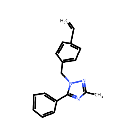 C=Cc1ccc(Cn2nc(C)nc2-c2ccccc2)cc1